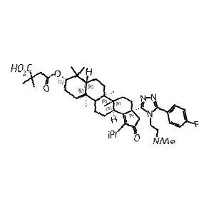 CNCCn1c(-c2ccc(F)cc2)nnc1[C@@]12CC[C@]3(C)[C@H](CCC4[C@@]5(C)CC[C@H](OC(=O)CC(C)(C)C(=O)O)C(C)(C)[C@@H]5CC[C@]43C)C1=C(C(C)C)C(=O)C2